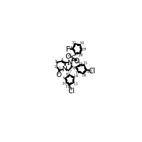 O=C1I=CC=C2N1[C@@H](c1ccc(Cl)cc1)[C@@H](c1ccc(Cl)cc1)N2S(=O)(=O)c1ccccc1F